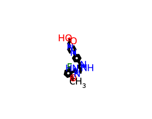 COc1cccc(F)c1C1=NC=C2NN=C(c3ccc(N4CCN(CC(=O)O)CC4)cc3)C2N1